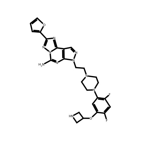 Nc1nc2c(cnn2CCN2CCN(c3cc(OC4CNC4)c(F)cc3F)CC2)c2nc(-c3ccco3)nn12